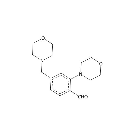 O=Cc1ccc(CN2CCOCC2)cc1N1CCOCC1